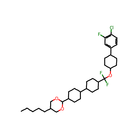 CCCCCC1COC(C2CCC(C3CCC(C(F)(F)OC4CCC(c5ccc(Cl)c(F)c5)CC4)CC3)CC2)OC1